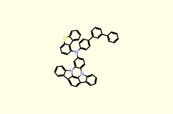 c1ccc(-c2cccc(-c3ccc(N(c4ccc5c(c4)n4c6ccccc6c6ccc7c8ccccc8n5c7c64)c4cccc5sc6ccccc6c45)cc3)c2)cc1